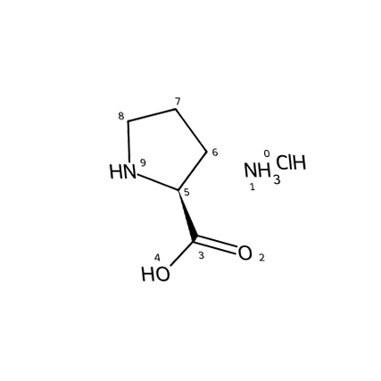 Cl.N.O=C(O)[C@@H]1CCCN1